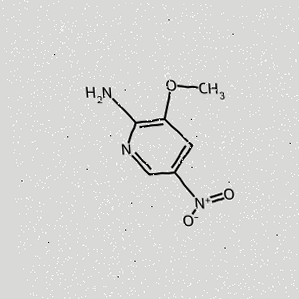 COc1cc([N+](=O)[O-])cnc1N